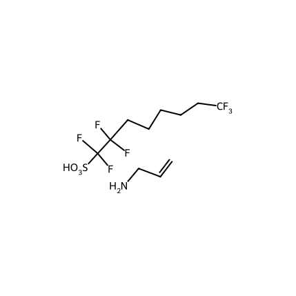 C=CCN.O=S(=O)(O)C(F)(F)C(F)(F)CCCCCC(F)(F)F